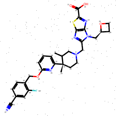 CC1CN(Cc2nc3sc(C(=O)O)nc3n2C[C@@H]2CCO2)CC[C@]1(C)c1cccc(OCc2ccc(C#N)cc2F)n1